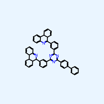 C1=CC2=NC(c3cccc(-c4nc(-c5ccc(-c6ccccc6)cc5)nc(-c5cccc(C6=Nc7ccccc7C7C=CC=CC67)c5)n4)c3)C3C=CC=CC3C2C=C1